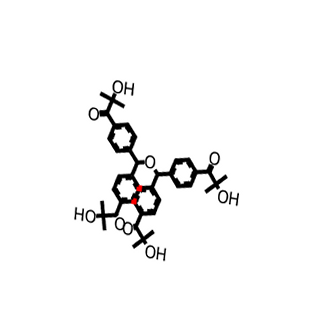 CC(C)(O)C(=O)c1ccc(C(OC(c2ccc(C(=O)C(C)(C)O)cc2)c2ccc(C(=O)C(C)(C)O)cc2)c2ccc(C(=O)C(C)(C)O)cc2)cc1